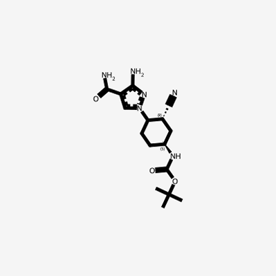 CC(C)(C)OC(=O)N[C@H]1CCC(n2cc(C(N)=O)c(N)n2)[C@H](C#N)C1